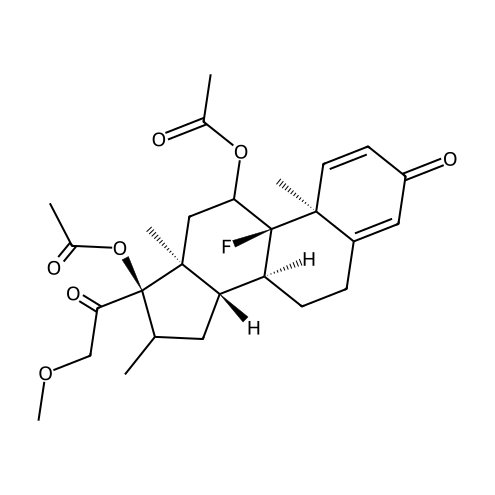 COCC(=O)[C@@]1(OC(C)=O)C(C)C[C@H]2[C@@H]3CCC4=CC(=O)C=C[C@]4(C)[C@@]3(F)C(OC(C)=O)C[C@@]21C